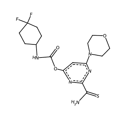 NC(=S)c1nc(OC(=O)NC2CCC(F)(F)CC2)cc(N2CCOCC2)n1